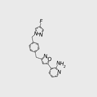 Nc1ncccc1-c1cc(Cc2ccc(Cn3cc(F)cn3)cc2)no1